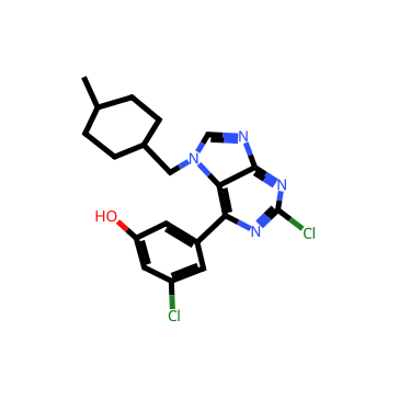 CC1CCC(Cn2cnc3nc(Cl)nc(-c4cc(O)cc(Cl)c4)c32)CC1